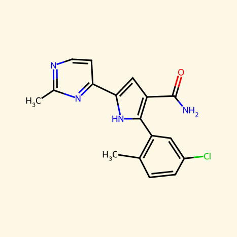 Cc1nccc(-c2cc(C(N)=O)c(-c3cc(Cl)ccc3C)[nH]2)n1